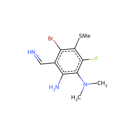 CSc1c(F)c(N(C)C)c(N)c(C=N)c1Br